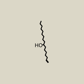 C=CCCCCCC(O)CCCCCCCCC